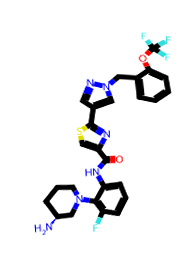 N[C@@H]1CCCN(c2c(F)cccc2NC(=O)c2csc(-c3cnn(Cc4ccccc4OC(F)(F)F)c3)n2)C1